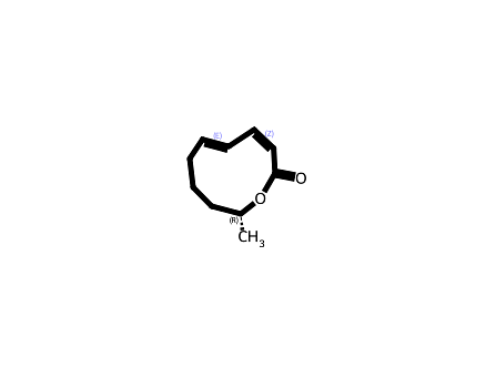 C[C@@H]1CCC/C=C/C=C\C(=O)O1